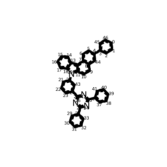 c1ccc(-c2ccc3c(ccc4c3c3ccccc3n4-c3cccc(-c4nc(-c5ccccc5)nc(-c5ccccc5)n4)c3)c2)cc1